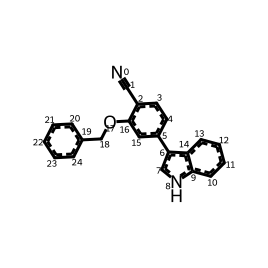 N#Cc1ccc(-c2c[nH]c3ccccc23)cc1OCc1ccccc1